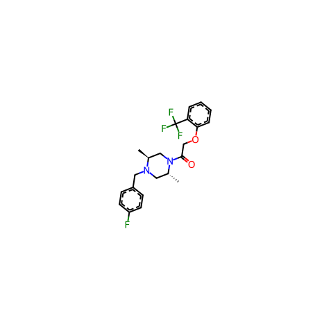 C[C@@H]1CN(Cc2ccc(F)cc2)[C@@H](C)CN1C(=O)COc1ccccc1C(F)(F)F